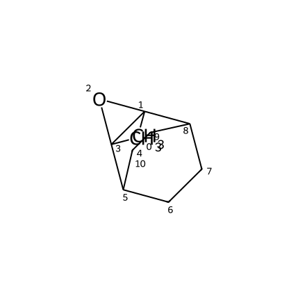 CC12OC1(C)C1CCC2CC1